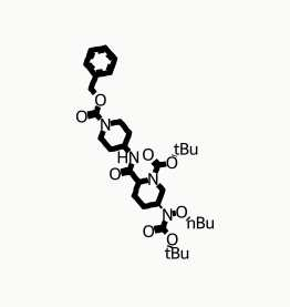 CCCCON(C(=O)OC(C)(C)C)[C@@H]1CCC(C(=O)NC2CCN(C(=O)OCc3ccccc3)CC2)N(C(=O)OC(C)(C)C)C1